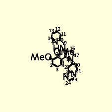 COc1cccc(C2C(NCc3ccccn3)CCN2c2ccn3ccnc3c2)c1OC